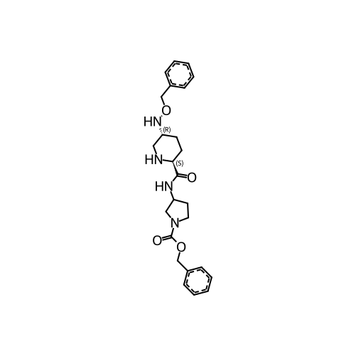 O=C(NC1CCN(C(=O)OCc2ccccc2)C1)[C@@H]1CC[C@@H](NOCc2ccccc2)CN1